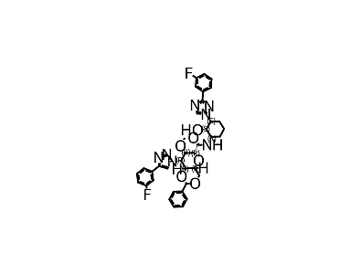 CO[C@@H]1[C@@H](n2cc(-c3cccc(F)c3)nn2)[C@H]2OC(c3ccccc3)OC[C@H]2O[C@H]1C(=O)N[C@@H]1CCC[C@H](n2cnc(-c3cccc(F)c3)n2)[C@H]1O